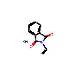 C=CN1C(=O)c2ccccc2C1=O.[KH]